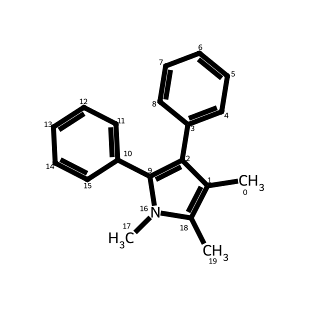 Cc1c(-c2ccccc2)c(-c2ccccc2)n(C)c1C